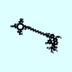 COc1cc2c(cc1-c1cccc(NC(=O)NCCOCCOCCOCCOCCNC(=O)CN3CCN(CC(=O)O)CCN(CC(=O)O)CCN(CC(=O)O)CC3)c1)-c1c(c(C(=O)N(C)C(C)(C)C)nn1-c1cc(Cl)cc(Cl)c1)CO2